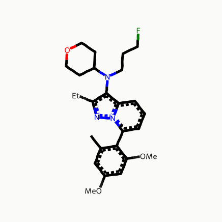 CCc1nn2c(-c3c(C)cc(OC)cc3OC)cccc2c1N(CCCF)C1CCOCC1